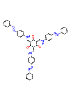 O=C1C(=CNc2ccc(/N=N/c3ccccc3)cc2)C(=O)C(=CNc2ccc(/N=N/c3ccccc3)cc2)C(=O)C1=CNc1ccc(/N=N/c2ccccc2)cc1